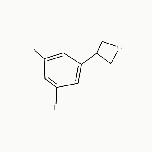 Fc1cc(F)cc(C2COC2)c1